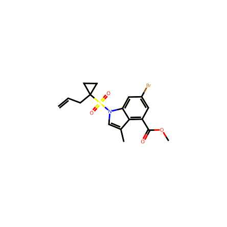 C=CCC1(S(=O)(=O)n2cc(C)c3c(C(=O)OC)cc(Br)cc32)CC1